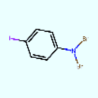 BrN(Br)c1ccc(I)cc1